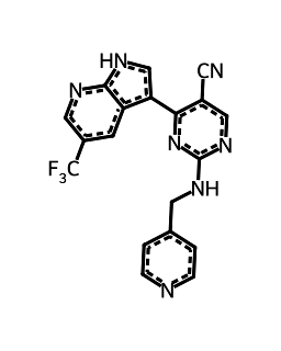 N#Cc1cnc(NCc2ccncc2)nc1-c1c[nH]c2ncc(C(F)(F)F)cc12